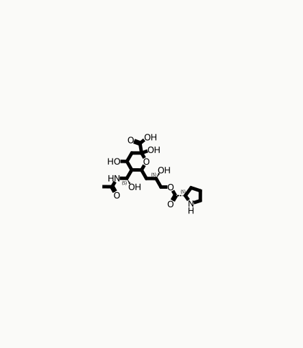 CC(=O)N[C@@H](O)C1C(O)CC(O)(C(=O)O)OC1C[C@H](O)COC(=O)[C@@H]1CCCN1